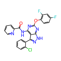 O=C(Nc1nc(Oc2ccc(F)cc2F)nc2[nH]nc(-c3ccccc3Cl)c12)c1ccccn1